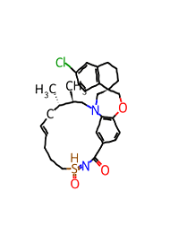 C[C@H]1C/C=C/CCC/[SH](=O)=N\C(=O)c2ccc3c(c2)N(C[C@@H]1C)C[C@@]1(CCCc2cc(Cl)ccc21)CO3